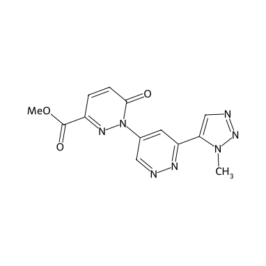 COC(=O)c1ccc(=O)n(-c2cnnc(-c3cnnn3C)c2)n1